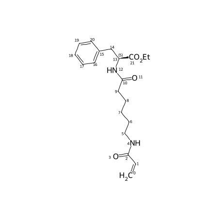 C=CC(=O)NCCCCCC(=O)N[C@@H](Cc1ccccc1)C(=O)OCC